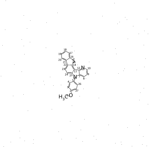 COc1ccc(-n2c3cccnc3c3c4sc5ccccc5c4ccc32)cc1